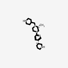 C[C@@H]1CN(c2ccc([C@H]3CCCNC3)cn2)CCN1CC1CCNCC1